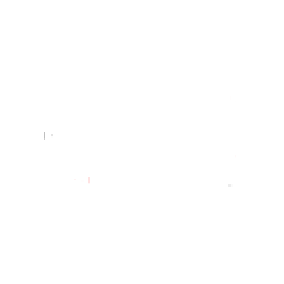 CCOc1cc(CCC(C)O)ccc1O